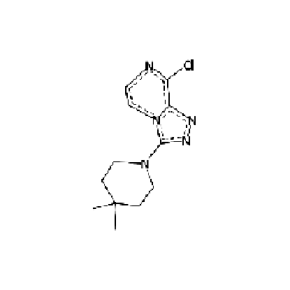 CC1(C)CCN(c2nnc3c(Cl)nccn23)CC1